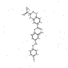 O=C(Cn1ncc(OCc2ccc(F)cc2)cc1=O)c1ccc2c(c1)CN(C(=O)C(F)(F)F)CC2